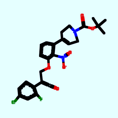 CC(C)(C)OC(=O)N1CC=C(c2cccc(OCC(=C=O)c3ccc(Cl)cc3F)c2[N+](=O)[O-])CC1